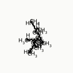 CNCCCCC(NC)C(=O)NCCCCC(CC(C)=O)NC(=O)C(CCCCNC)NC(=O)C(CCCCNC)NC